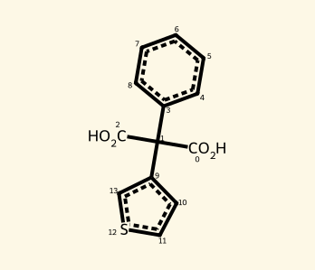 O=C(O)C(C(=O)O)(c1ccccc1)c1ccsc1